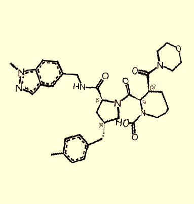 Cc1ccc(C[C@@H]2C[C@@H](C(=O)NCc3ccc4c(cnn4C)c3)N(C(=O)[C@H]3[C@@H](C(=O)N4CCOCC4)CCCN3C(=O)O)C2)cc1